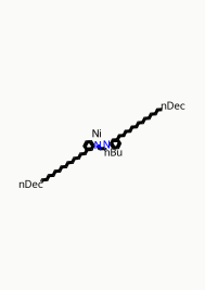 CCCCCCCCCCCCCCCCCCCCCCCCc1cccc(N=CC(CCCC)=Nc2cccc(CCCCCCCCCCCCCCCCCCCCCCCC)c2)c1.[Ni]